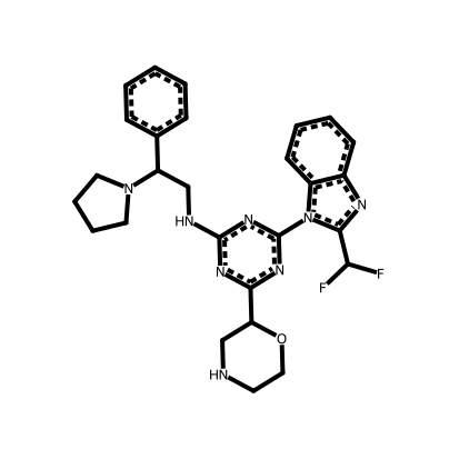 FC(F)c1nc2ccccc2n1-c1nc(NCC(c2ccccc2)N2CCCC2)nc(C2CNCCO2)n1